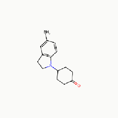 Bc1ccc2c(c1)CCN2C1CCC(=O)CC1